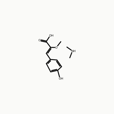 CNC.COC(=Cc1ccc(O)cc1)C(=O)O